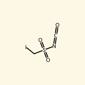 O=C=NS(=O)(=O)CI